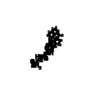 CC(c1cccc2ccccc12)N1CCC(CN(CC(=O)NCC(=O)NC/C=C/C(N)=O)[SH](=O)=O)CC1